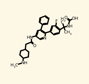 CNC1CCC(CC(=O)Nc2cnc(-c3ccc(C(C)(C)NC(=O)O)c(F)c3)c(-c3ccccc3)c2)CC1